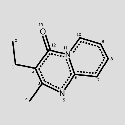 CCc1c(C)nc2ccccn2c1=O